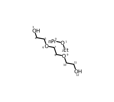 CCCOCC.OCCOCCOCCO